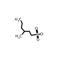 CCCC(C)CCS([O])(=O)=O